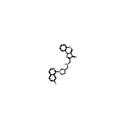 O=C1C2=COc3ccccc3C2N=C1CNCC1CCN(c2nccc3ccc(F)cc23)C1